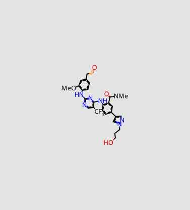 CNC(=O)c1cc(-c2cnn(CCCO)c2)ccc1Nc1nc(Nc2ccc(CP=O)cc2OC)ncc1C(F)(F)F